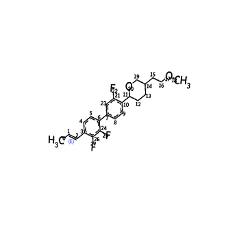 C/C=C/c1ccc(-c2ccc(C3CCC(CCOC)CO3)c(F)c2)c(F)c1F